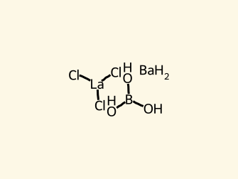 OB(O)O.[BaH2].[Cl][La]([Cl])[Cl]